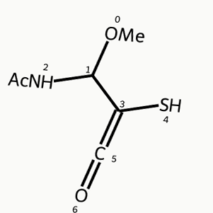 COC(NC(C)=O)C(S)=C=O